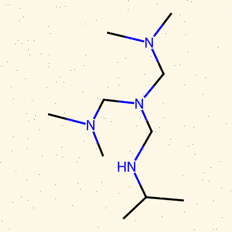 CC(C)NCN(CN(C)C)CN(C)C